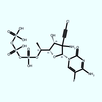 C[C@H](OP(=O)(O)OP(=O)(O)OP(=O)(O)O)[C@H]1O[C@@H](n2cc(F)c(N)nc2=O)C(N)(C#CCl)[C@H]1O